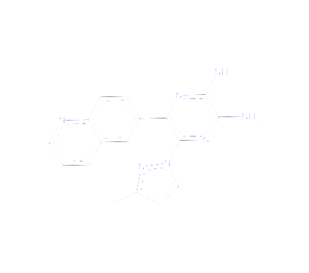 Cc1ccn(-c2nc(N)c(N)nc2-c2ccc3ncccc3c2)n1